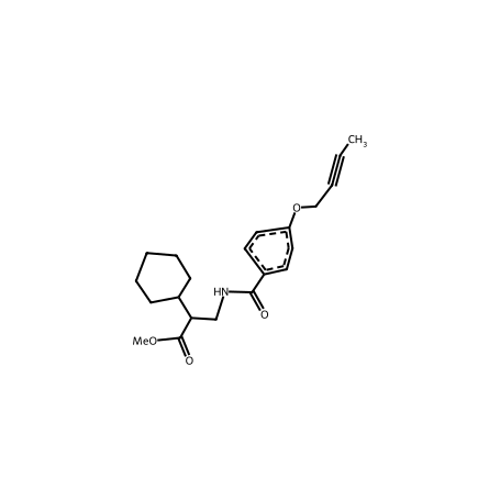 CC#CCOc1ccc(C(=O)NCC(C(=O)OC)C2CCCCC2)cc1